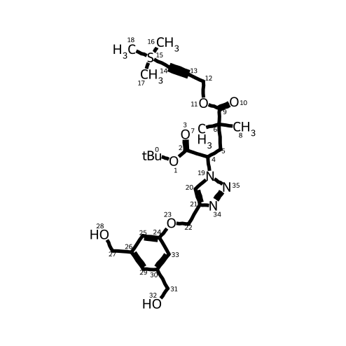 CC(C)(C)OC(=O)C(CC(C)(C)C(=O)OCC#CS(C)(C)C)n1cc(COc2cc(CO)cc(CO)c2)nn1